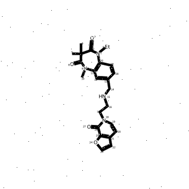 CCN1C(=O)C(C)(C)C(=O)N(C)c2cc(CNCCn3ccc4ccoc4c3=O)ccc21